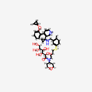 Cc1ccc(SCCCCN(C(=O)C(O)C(O)C(O)C(O)CO)C2CCOCC2)cc1CNC1(c2cnccc2-c2ccccc2OC2CC2)CC1